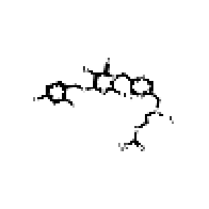 Cc1nc(OCc2ccc(F)cc2F)c(Br)c(=O)n1Cc1cnc(CN(C)CCOC(=O)C(F)(F)F)cn1